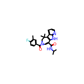 Cc1cc(C(=O)N2C=C(C(=O)NC(C)C)c3[nH]c4ncccc4c3C(C)(C)C2)ccc1F